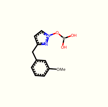 COc1cccc(Cc2ccn(OB(O)O)n2)c1